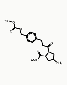 COC(=O)[C@@H]1CC(N)CN1C(=O)CCc1ccc(CNC(=O)OC(C)(C)C)cc1